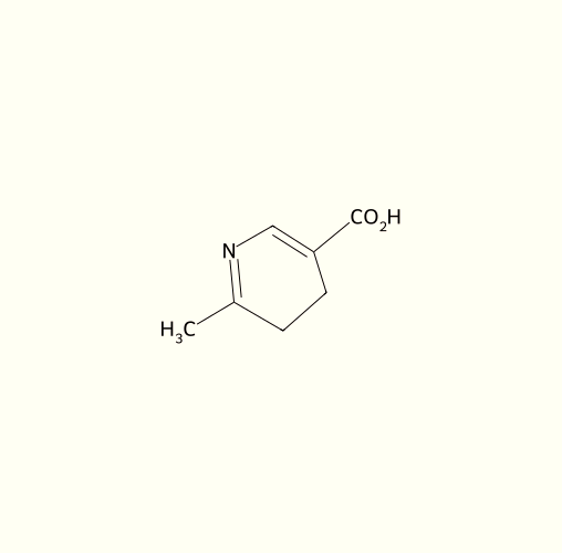 CC1=NC=C(C(=O)O)CC1